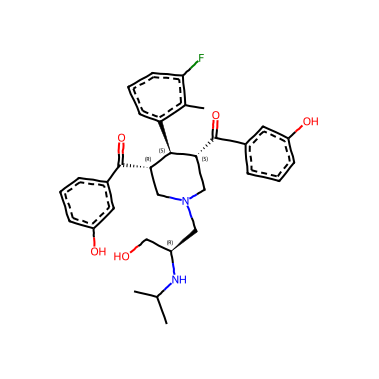 Cc1c(F)cccc1[C@@H]1[C@@H](C(=O)c2cccc(O)c2)CN(C[C@H](CO)NC(C)C)C[C@H]1C(=O)c1cccc(O)c1